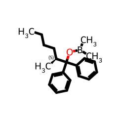 CCCC[C@H](C)C(OB(C)C)(c1ccccc1)c1ccccc1